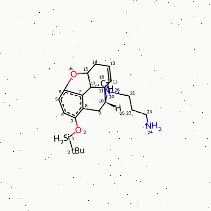 CC(C)(C)[SiH2]Oc1ccc2c3c1C[C@@H]1[C@@H]4C=CCC(O2)[C@]34CCN1CCCN